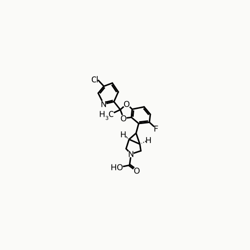 CC1(c2ccc(Cl)cn2)Oc2ccc(F)c(C3[C@H]4CN(C(=O)O)C[C@@H]34)c2O1